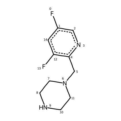 Fc1cnc(CN2CCNCC2)c(F)c1